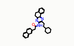 O=C(Cc1ccc2ccccc2c1)Nc1nc2c(nc1CCC1CCCCC1)-c1ccccc1CC2